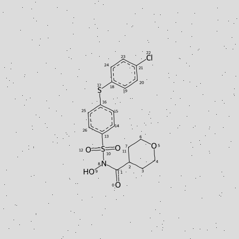 O=C(C1CCOCC1)N(O)S(=O)(=O)c1ccc(Sc2ccc(Cl)cc2)cc1